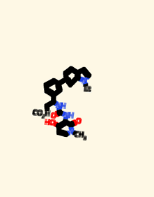 CCn1ccc2ccc(-c3cccc(C(CC(=O)O)NC(=O)Nc4c(O)ccn(C)c4=O)c3)cc21